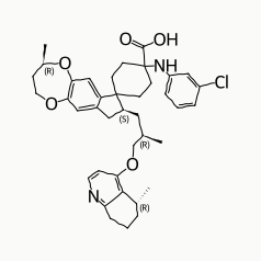 C[C@@H](COc1ccnc2c1[C@H](C)CCC2)C[C@H]1Cc2cc3c(cc2C12CCC(Nc1cccc(Cl)c1)(C(=O)O)CC2)O[C@H](C)CCO3